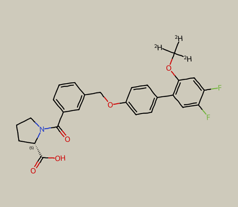 [2H]C([2H])([2H])Oc1cc(F)c(F)cc1-c1ccc(OCc2cccc(C(=O)N3CCC[C@H]3C(=O)O)c2)cc1